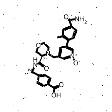 Cc1cc(C(N)=O)ccc1-c1cc(CN2CCOC[C@@H]2C(=O)N[C@@H](C)c2ccc(C(=O)O)cc2)c[n+]([O-])c1